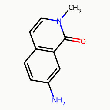 Cn1ccc2ccc(N)cc2c1=O